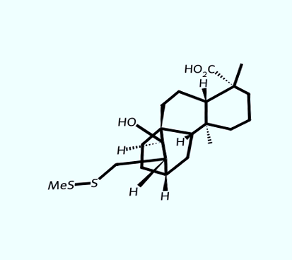 CSSC[C@H]1[C@H]2CC[C@@]3(CC[C@H]4[C@@](C)(CCC[C@@]4(C)C(=O)O)[C@@H]3C2)[C@@H]1O